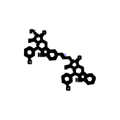 CC(C)N1C(=O)C2Cc3c([nH]c4ccc(/C=C/CN5C(=O)C6Cc7c([nH]c8ccccc78)C(c7cccc(Cl)c7)N6C5=S)cc34)C(c3cccc(Cl)c3)N2C1=S